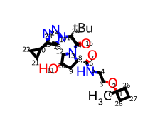 CC1(OCCNC(=O)[C@@H]2C[C@@H](O)CN2C(=O)[C@@H](n2cc(C3CC3)nn2)C(C)(C)C)CCC1